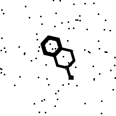 CCN1C[CH]c2ccccc2C1